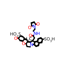 CC1(CC(=O)NCCN2C(=O)C=CC2=O)C2=C3C=C4C=C(S(=O)(=O)O)C(=O)C=C4OC3CCN2c2ccc3cc(S(=O)(=O)O)ccc3c21